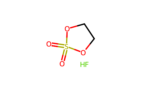 F.O=S1(=O)OCCO1